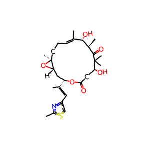 CC(=Cc1csc(C)n1)[C@@H]1C[C@@H]2O[C@@]2(C)CC/C=C(\C)[C@H](O)[C@@H](C)C(=O)C(C)(C)[C@@H](O)CC(=O)O1